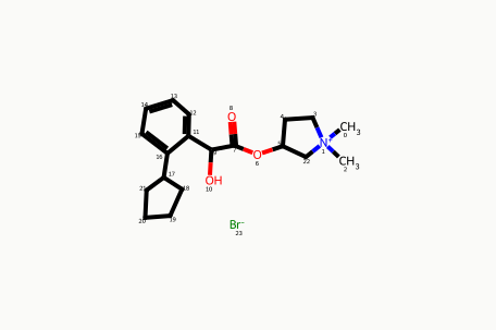 C[N+]1(C)CCC(OC(=O)C(O)c2ccccc2C2CCCC2)C1.[Br-]